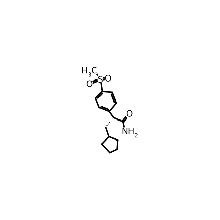 CS(=O)(=O)c1ccc([C@@H](CC2CCCC2)C(N)=O)cc1